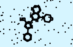 Oc1cc(-c2ccccc2)nn1-c1nc(N2CCOCC2)c2cccnc2n1